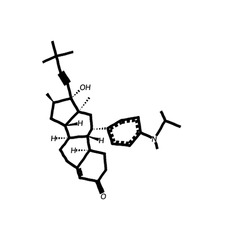 CC(C)N(C)c1ccc([C@H]2C[C@@]3(C)[C@@H](C[C@@H](C)[C@@]3(O)C#CC(C)(C)C)[C@@H]3CCC4=CC(=O)CC[C@@H]4[C@H]32)cc1